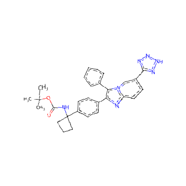 CC(C)(C)OC(=O)NC1(c2ccc(-c3nc4ccc(-c5nn[nH]n5)cn4c3-c3ccccc3)cc2)CCC1